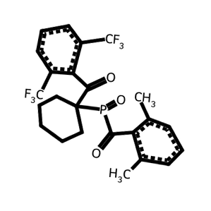 Cc1cccc(C)c1C(=O)[P](=O)C1(C(=O)c2c(C(F)(F)F)cccc2C(F)(F)F)CCCCC1